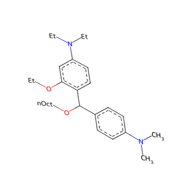 CCCCCCCCOC(c1ccc(N(C)C)cc1)c1ccc(N(CC)CC)cc1OCC